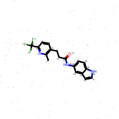 Cc1nc(C(F)(F)F)ccc1CCC(=O)Nc1ccc2[nH]ccc2c1